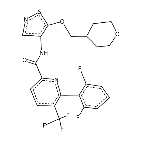 O=C(Nc1cnsc1OCC1CCOCC1)c1ccc(C(F)(F)F)c(-c2c(F)cccc2F)n1